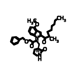 CCCCCCC(C)C(=O)c1cc2c(OC)cccc2n1[C@@H](C[C@@H]1CCCNC1=O)C(=O)COCc1ccccc1